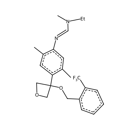 CCN(C)C=Nc1cc(C)c(C2(OCc3ccccc3C(F)(F)F)COC2)cc1C